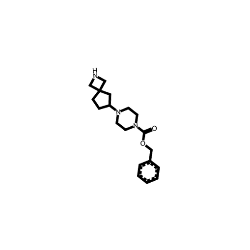 O=C(OCc1ccccc1)N1CCN(C2CCC3(CNC3)C2)CC1